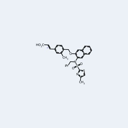 Cc1csc(S(=O)(=O)N(CC(C)C)c2cc3ccccc3cc2OCc2ccc(/C=C/C(=O)O)cc2C)n1